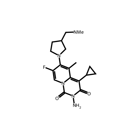 CNCC1CCN(c2c(F)cn3c(=O)n(N)c(=O)c(C4CC4)c3c2C)C1